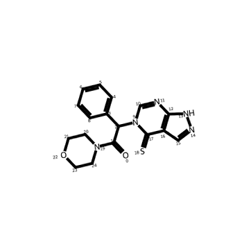 O=C(C(c1ccccc1)n1cnc2[nH]ncc2c1=S)N1CCOCC1